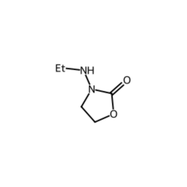 CCNN1CCOC1=O